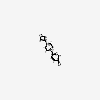 O=C1C=CC(N2CCN(C3COC3)CC2)=NC1